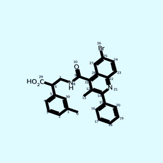 Cc1cccc(C(CNC(=O)c2c(C)c(-c3ccccc3)nc3ccc(Br)cc23)C(=O)O)c1